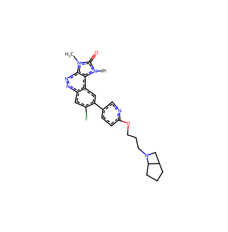 CC(C)n1c(=O)n(C)c2nnc3cc(F)c(-c4ccc(OCCCN5CC6CCCC65)nc4)cc3c21